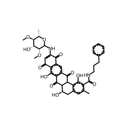 CO[C@@H]1[C@@H](O)[C@@H](OC)C(NC2=CC(=O)c3c(cc4c(c3O)C(=O)C3C(C4=O)c4c(cc(C)c(C(=O)NCCCc5ccccc5)c4O)C[C@H]3O)C2=O)O[C@H]1C